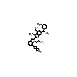 C=C(c1cc(CC)c2c(c1)nc(-c1cc3cccc(C4CC5(C4)CN(C)C5)c3n1CCC)n2C)N1CCC[C@@H](C)C1